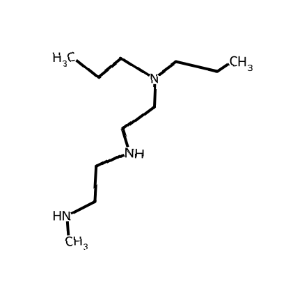 CCCN(CCC)CCNCCNC